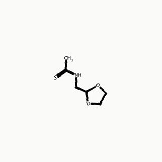 CC(=S)NCC1OCCO1